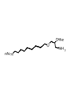 CCCCCCCCCCCCCCCCCCOCC(CN)OC